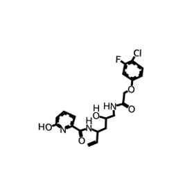 C=CC(CC(O)CNC(=O)COc1ccc(Cl)c(F)c1)NC(=O)c1cccc(O)n1